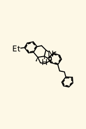 CCc1ccc2c(c1)[C@@]1(C)CCCN(C)C(C2)[C@@H]1c1cccc(CCc2ccccc2)c1